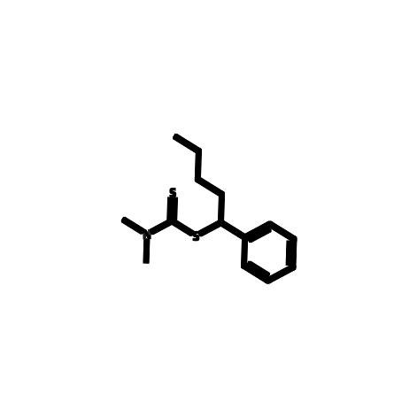 CCCCC(SC(=S)N(C)C)c1ccccc1